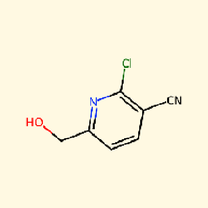 N#Cc1ccc(CO)nc1Cl